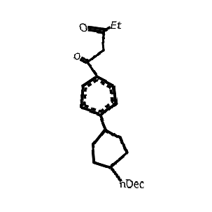 CCCCCCCCCCC1CCC(c2ccc(C(=O)CC(=O)CC)cc2)CC1